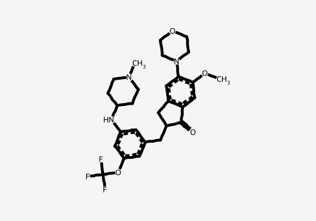 COc1cc2c(cc1N1CCOCC1)CC(Cc1cc(NC3CCN(C)CC3)cc(OC(F)(F)F)c1)C2=O